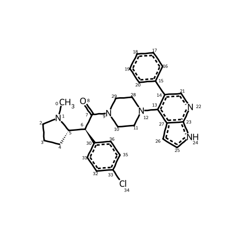 CN1CCC[C@H]1[C@@H](C(=O)N1CCN(c2c(-c3ccccc3)cnc3[nH]ccc23)CC1)c1ccc(Cl)cc1